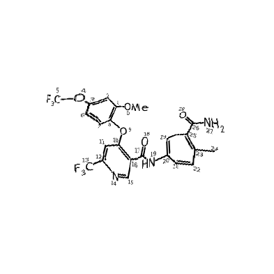 COc1cc(OC(F)(F)F)ccc1Oc1cc(C(F)(F)F)ncc1C(=O)Nc1ccc(C)c(C(N)=O)c1